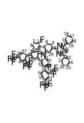 Fc1ccccc1-c1ccc(-c2nc(-c3ccccc3)nc(-c3ccccc3)n2)cc1-n1c2ccc(-c3ccc(C(F)(F)F)cc3C(F)(F)F)cc2c2cc(-c3ccc(C(F)(F)F)cc3C(F)(F)F)ccc21